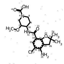 COC1CN(C(=O)O)CCC1NC(=O)c1cc(Cl)c(N)c2c1OC(C)(C)C2